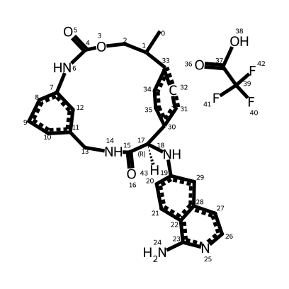 CC1COC(=O)Nc2cccc(c2)CNC(=O)[C@H](Nc2ccc3c(N)nccc3c2)c2ccc1cc2.O=C(O)C(F)(F)F